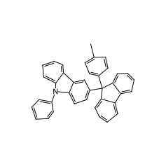 Cc1ccc(C2(c3ccc4c(c3)c3ccccc3n4-c3ccccc3)c3ccccc3-c3ccccc32)cc1